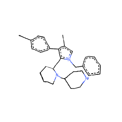 Cc1ccc(-c2c(C)cn(Cc3ccccc3)c2C2CCCCN2C2CC[N]CC2)cc1